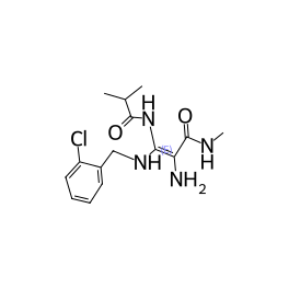 CNC(=O)/C(N)=C(/NCc1ccccc1Cl)NC(=O)C(C)C